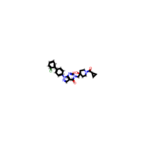 O=C(C1CC1)N1CCC(O)(Cn2cnc3c(cnn3-c3ccc(-c4ccccc4Cl)cc3)c2=O)CC1